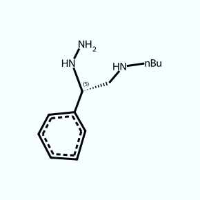 CCCCNC[C@@H](NN)c1ccccc1